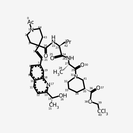 CC(=O)N1CCC(/C=C/c2ccc3ccc([C@@H](C)O)nc3c2)(C(=O)N[C@H](C(=O)N[C@@H](C)C(=O)N2CCC[C@@H](C(=O)OCC(Cl)(Cl)Cl)C2)C(C)C)CC1